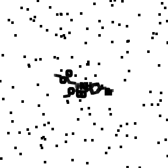 CCOC(=O)CC[C@H](NC(=O)c1ccc(CBr)cc1)C(=O)OCC